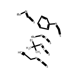 C#CCN=C=S.CC(C)(C)N=C=S.CCC(C)(C)N=C=S.CCC(C)N=C=S.S=C=Nc1ccccc1